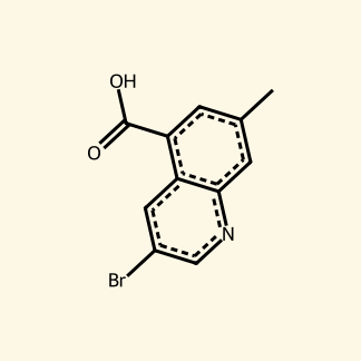 Cc1cc(C(=O)O)c2cc(Br)cnc2c1